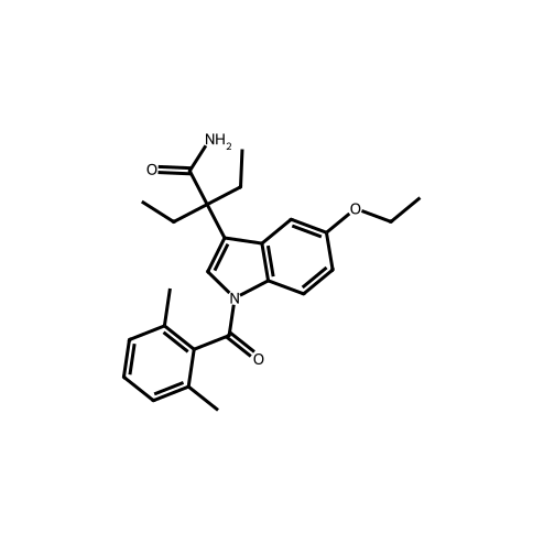 CCOc1ccc2c(c1)c(C(CC)(CC)C(N)=O)cn2C(=O)c1c(C)cccc1C